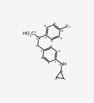 O=C(O)N(Cc1ccc(NC2CC2)cc1)c1ccc(F)cc1